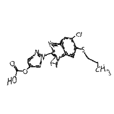 CCCSc1cc2[nH]c(-n3cc(OC(=O)O)cn3)nc2cc1Cl